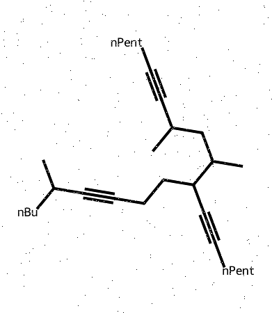 CCCCCC#CC(C)C[C](C)C(C#CCCCCC)CCC#CC(C)CCCC